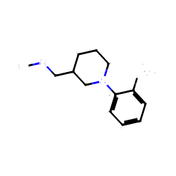 CCNCC1CCCN(c2ccccc2OC)C1